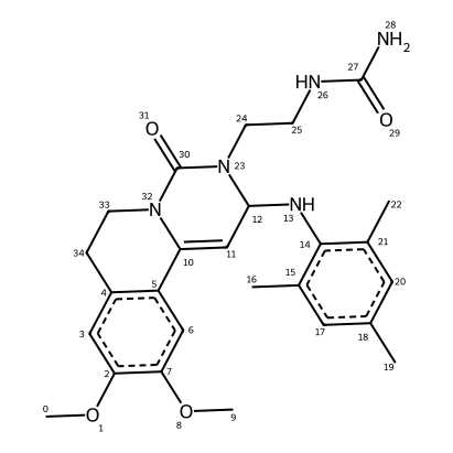 COc1cc2c(cc1OC)C1=CC(Nc3c(C)cc(C)cc3C)N(CCNC(N)=O)C(=O)N1CC2